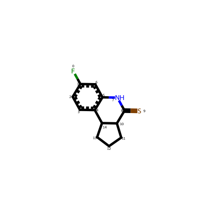 Fc1ccc2c(c1)NC(=S)C1CCCC21